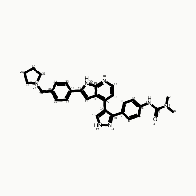 CN(C)C(=O)Nc1ccc(-c2n[nH]cc2-c2ccnc3[nH]c(-c4ccc(CN5CCCC5)cc4)cc23)cc1